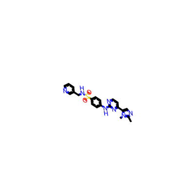 Cc1ncc(-c2ccnc(Nc3ccc(S(=O)(=O)NCc4cccnc4)cc3)n2)n1C